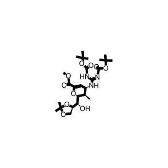 COC(=O)C1=C[C@H](N/C(=N/C(=O)OC(C)(C)C)NC(=O)OC(C)(C)C)[C@@H](C)[C@H]([C@H](O)[C@H]2COC(C)(C)O2)O1